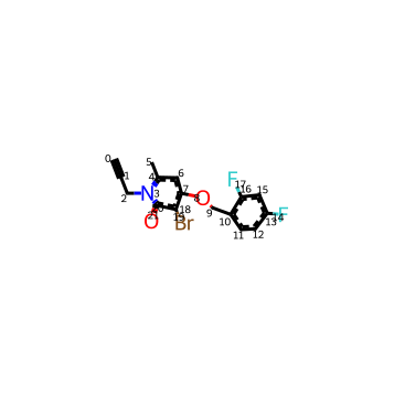 C#CCn1c(C)cc(OCc2ccc(F)cc2F)c(Br)c1=O